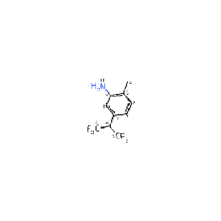 Cc1ccc(C(C(F)(F)F)C(F)(F)F)cc1N